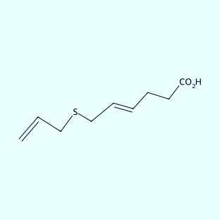 C=CCSCC=CCCC(=O)O